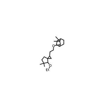 CCOC1C(C)(C)CCC12CC2CCOC1C2CCC(CC2)C1(C)C